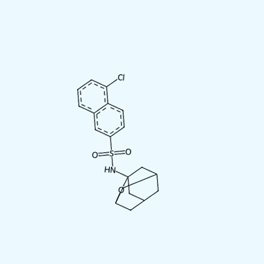 O=S(=O)(NC12CC3CC(CC(C3)O1)C2)c1ccc2c(Cl)cccc2c1